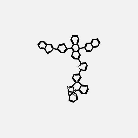 C1=CC2C3N=C4c5ccc(-c6cccc(-c7ccc8c(-c9ccc(-c%10ccc%11ccccc%11c%10)cc9)c9ccccc9c(-c9ccc%10ccccc%10c9)c8c7)n6)cc5-c5ccccc5N4[C@]23C=C1